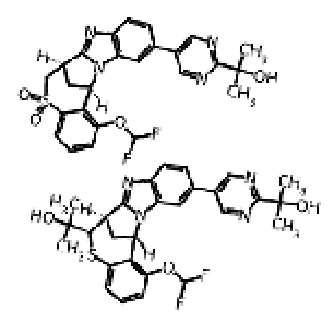 CC(C)(O)c1ncc(-c2ccc3nc4n(c3c2)[C@@H]2C[C@H]4CS(=O)(=O)c3cccc(OC(F)F)c32)cn1.CC(C)(O)c1ncc(-c2ccc3nc4n(c3c2)[C@H]2C[C@H]4[C@H](C(C)(C)O)Sc3cccc(OC(F)F)c32)cn1